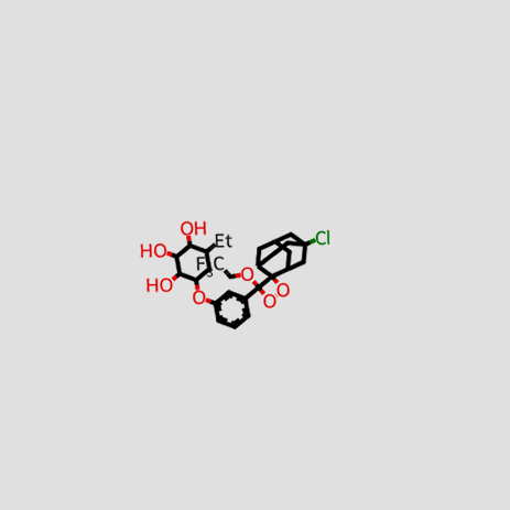 CCC1CC(Oc2cccc(C3(OCC(F)(F)F)OOC34C3CC5CC4CC(Cl)(C5)C3)c2)C(O)C(O)C1O